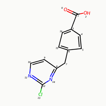 O=C(O)c1ccc(Cc2ccnc(Cl)n2)cc1